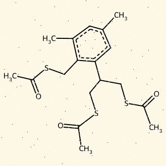 CC(=O)SCc1c(C)cc(C)cc1C(CSC(C)=O)CSC(C)=O